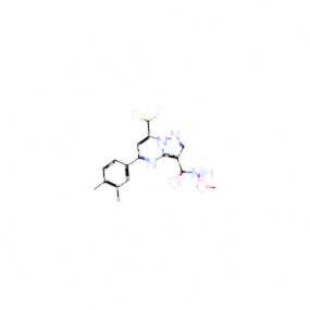 CONC(=O)c1cnn2c(C(F)F)cc(-c3ccc(C)c(C)c3)nc12